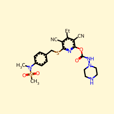 CCc1c(C#N)c(OC(=O)NN2CCNCC2)nc(SCc2ccc(N(C)S(C)(=O)=O)cc2)c1C#N